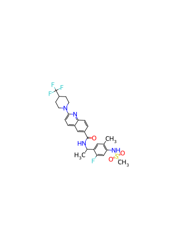 Cc1cc(C(C)NC(=O)c2ccc3nc(N4CCC(C(F)(F)F)CC4)ccc3c2)c(F)cc1NS(C)(=O)=O